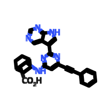 O=C(O)C1C2CCC(CC2)C1Nc1cc(C#Cc2ccccc2)nc(-c2c[nH]c3ncncc23)n1